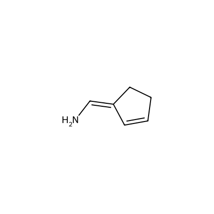 N/C=C1\C=CCC1